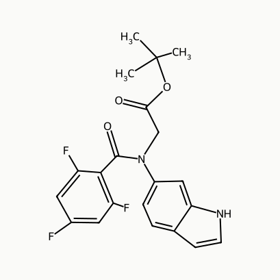 CC(C)(C)OC(=O)CN(C(=O)c1c(F)cc(F)cc1F)c1ccc2cc[nH]c2c1